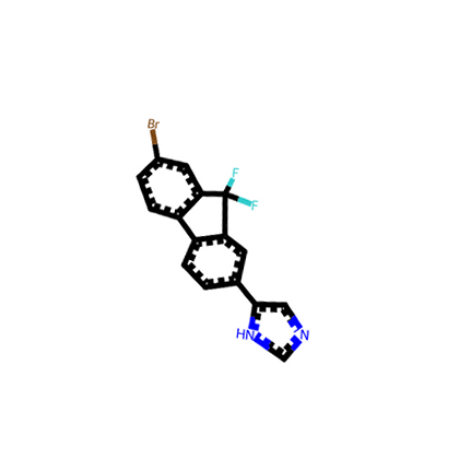 FC1(F)c2cc(Br)ccc2-c2ccc(-c3cnc[nH]3)cc21